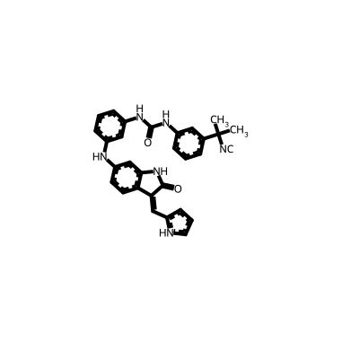 [C-]#[N+]C(C)(C)c1cccc(NC(=O)Nc2cccc(Nc3ccc4c(c3)NC(=O)/C4=C\c3ccc[nH]3)c2)c1